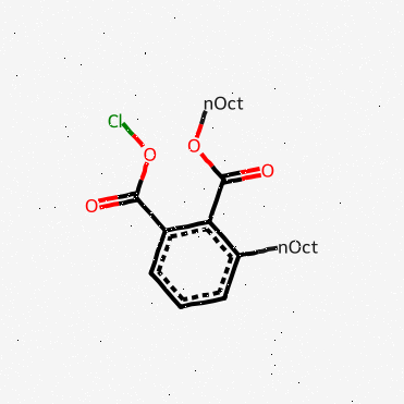 CCCCCCCCOC(=O)c1c(CCCCCCCC)cccc1C(=O)OCl